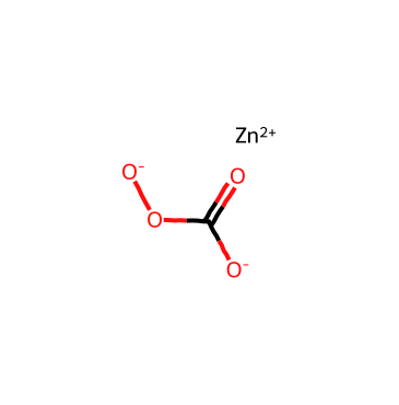 O=C([O-])O[O-].[Zn+2]